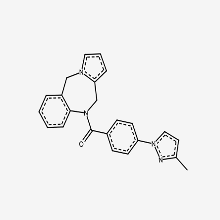 Cc1ccn(-c2ccc(C(=O)N3Cc4cccn4Cc4ccccc43)cc2)n1